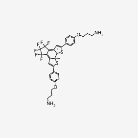 C[C@@]12SC(c3ccc(OCCCN)cc3)=CC1=C1C(=C3C=C(c4ccc(OCCCN)cc4)S[C@]32C)C(F)(F)C(F)(F)C1(F)F